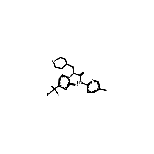 Cc1ccc(NC(=O)[C@H](CC2CCOCC2)n2ccc(C(F)(F)F)cc2=O)nc1